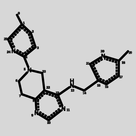 Cc1ccc(N2CCc3ncnc(NCc4ccc(C)nc4)c3C2)nc1